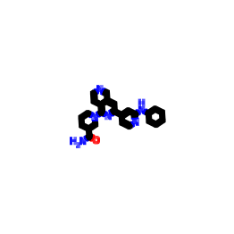 NC(=O)C1CCCN(c2nc(-c3ccnc(NC4CCCCC4)c3)cc3cnccc23)C1